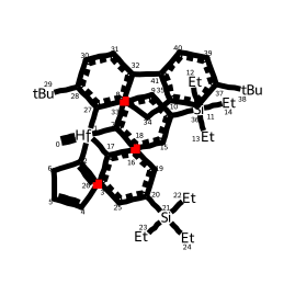 [CH2]=[Hf]([C]1=CC=CC1)([c]1ccc([Si](CC)(CC)CC)cc1)([c]1ccc([Si](CC)(CC)CC)cc1)[c]1c(C(C)(C)C)ccc2c1Cc1cc(C(C)(C)C)ccc1-2